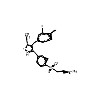 COCCS(=O)(=O)c1ccc(-c2[nH]nc(C(F)(F)F)c2-c2ccc(C)c(F)c2)cc1